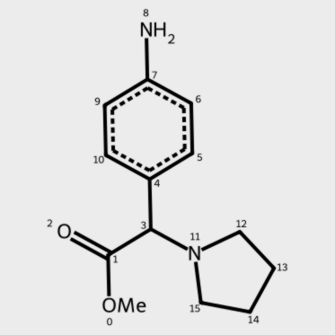 COC(=O)C(c1ccc(N)cc1)N1CCCC1